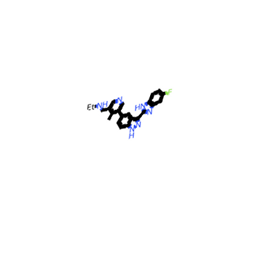 CCNCc1cncc(-c2ccc3[nH]nc(-c4nc5cc(F)ccc5[nH]4)c3c2)c1C